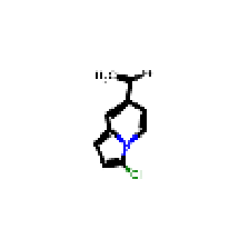 C=C(CC)c1ccn2c(Cl)ccc2c1